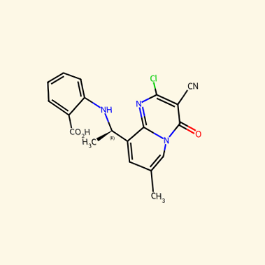 Cc1cc([C@@H](C)Nc2ccccc2C(=O)O)c2nc(Cl)c(C#N)c(=O)n2c1